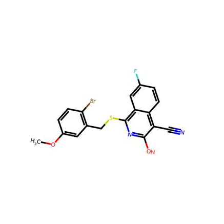 COc1ccc(Br)c(CSc2nc(O)c(C#N)c3ccc(F)cc23)c1